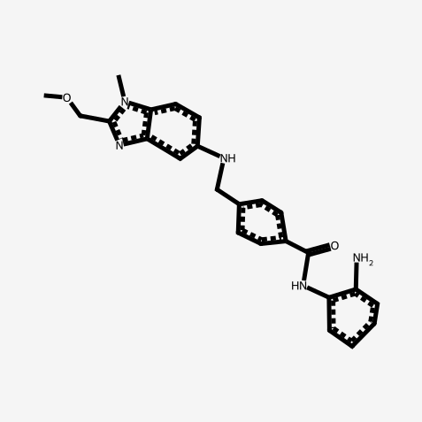 COCc1nc2cc(NCc3ccc(C(=O)Nc4ccccc4N)cc3)ccc2n1C